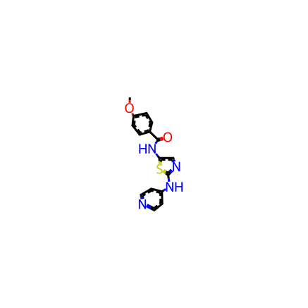 COc1ccc(C(=O)Nc2cnc(Nc3ccncc3)s2)cc1